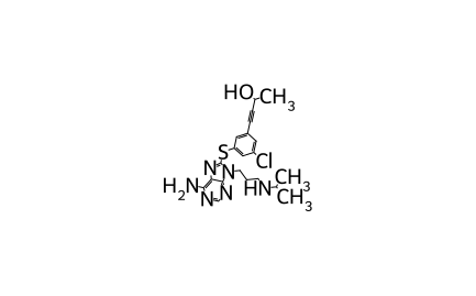 CC(O)C#Cc1cc(Cl)cc(Sc2nc3c(N)ncnc3n2CCCNC(C)C)c1